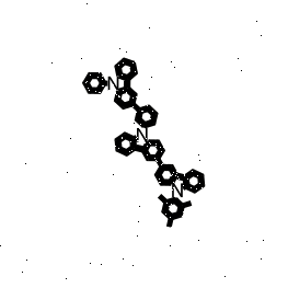 Cc1cc(C)c(-n2c3ccccc3c3cc(-c4ccc5c(c4)c4ccccc4n5-c4cccc(-c5ccc6c(c5)c5ccccc5n6-c5ccccc5)c4)ccc32)c(C)c1